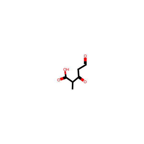 CC(C(=O)O)C(=O)CC=O